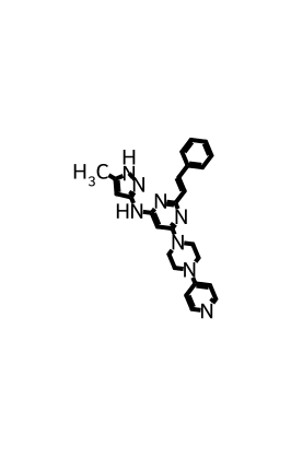 Cc1cc(Nc2cc(N3CCN(c4ccncc4)CC3)nc(/C=C/c3ccccc3)n2)n[nH]1